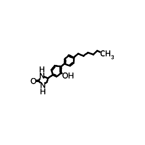 CCCCCCc1ccc(-c2ccc(C3CNC(=O)N3)cc2O)cc1